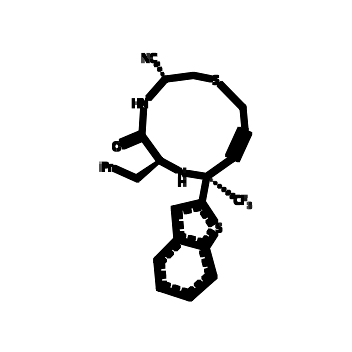 CC(C)C[C@@H]1N[C@@](c2cc3ccccc3s2)(C(F)(F)F)C#CCSC[C@@H](C#N)NC1=O